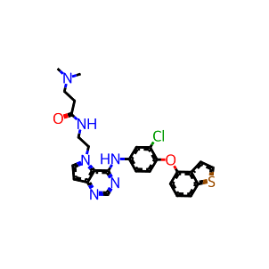 CN(C)CCC(=O)NCCn1ccc2ncnc(Nc3ccc(Oc4cccc5sccc45)c(Cl)c3)c21